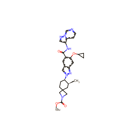 C[C@H]1CC2(CC[C@H]1n1cc3cc(C(=O)Nc4cnn5cnccc45)c(OC4CC4)cc3n1)CN(C(=O)OC(C)(C)C)C2